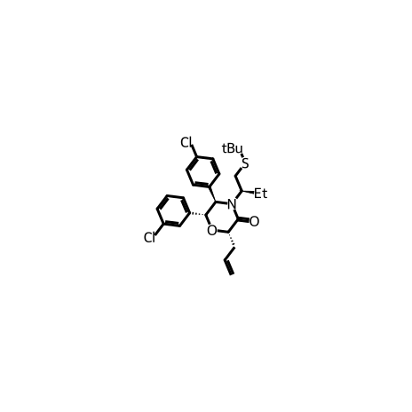 C=CC[C@@H]1O[C@H](c2cccc(Cl)c2)[C@@H](c2ccc(Cl)cc2)N([C@H](CC)CSC(C)(C)C)C1=O